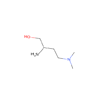 CN(C)CCC([SiH3])CO